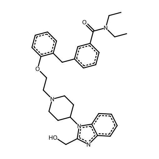 CCN(CC)C(=O)c1cccc(Cc2ccccc2OCCN2CCC(n3c(CO)nc4ccccc43)CC2)c1